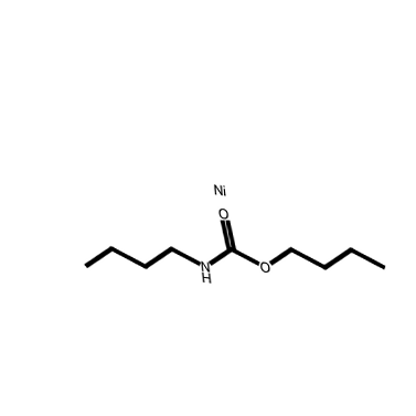 CCCCNC(=O)OCCCC.[Ni]